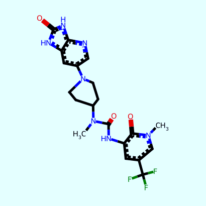 CN(C(=O)Nc1cc(C(F)(F)F)cn(C)c1=O)C1CCN(c2cnc3[nH]c(=O)[nH]c3c2)CC1